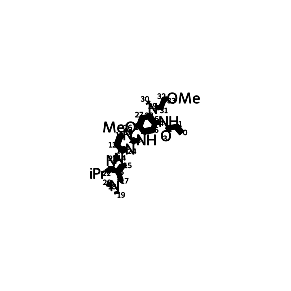 C=CC(=O)Nc1cc(Nc2nccc(-n3cc(CN(C)C)c(C(C)C)n3)n2)c(OC)cc1N(C)CCOC